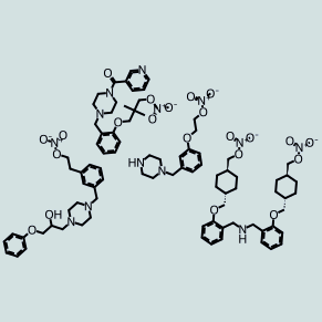 CC(C)(COc1ccccc1CN1CCN(C(=O)c2cccnc2)CC1)CO[N+](=O)[O-].O=[N+]([O-])OCCOc1cccc(CN2CCNCC2)c1.O=[N+]([O-])OCCc1cccc(CN2CCN(CC(O)COc3ccccc3)CC2)c1.O=[N+]([O-])OC[C@H]1CC[C@H](COc2ccccc2CNCc2ccccc2OC[C@H]2CC[C@H](CO[N+](=O)[O-])CC2)CC1